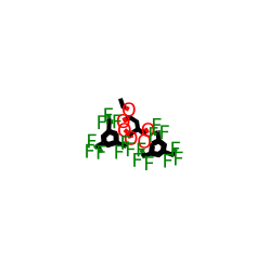 CCOC(=O)CC(C(=O)Oc1c(C(F)(F)F)cc(C(F)(F)F)cc1C(F)(F)F)C(=O)Oc1c(C(F)(F)F)cc(C(F)(F)F)cc1C(F)(F)F